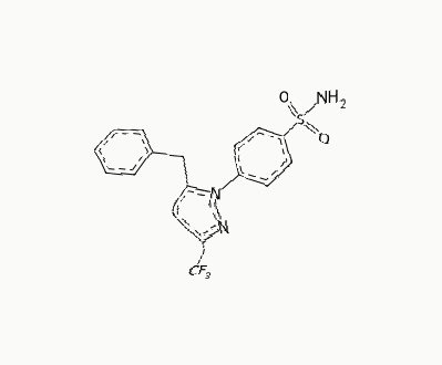 NS(=O)(=O)c1ccc(-n2nc(C(F)(F)F)cc2Cc2ccccc2)cc1